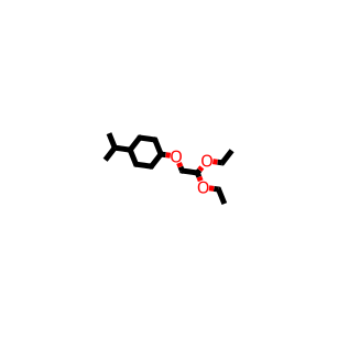 CCOC(COC1CCC(C(C)C)CC1)OCC